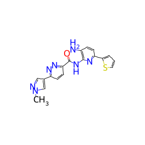 Cn1cc(-c2ccc(C(=O)Nc3nc(-c4cccs4)ccc3N)nn2)cn1